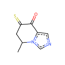 CC1CC(=S)C(=O)c2cncn21